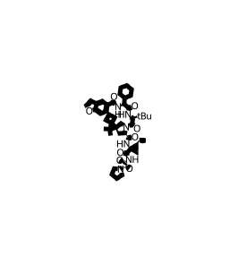 C=C[C@@H]1C[C@]1(NC(=O)[C@@H]1C[C@@]2(CN1C(=O)[C@@H](NC(=O)[C@@H](NC(=O)c1ccc3occc3c1)C1CCCCC1)C(C)(C)C)C(C)(C)C21CCC1)C(=O)NS(=O)(=O)N1CCCC1